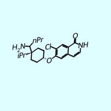 CCCC(N)[C@]1(C(C)C)CC[C@H](Oc2cc3cc[nH]c(=O)c3cc2Cl)CC1